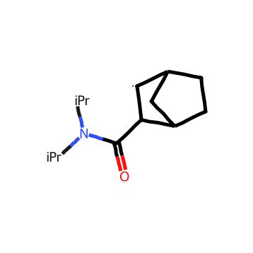 CC(C)N(C(=O)C1[CH]C2CCC1C2)C(C)C